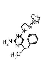 CCC(Cc1ccccc1)c1cc(N2CC[C@@H](NC)C2)nc(N)n1